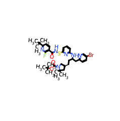 CC(C)(C)OC(=O)N1C[C@@H](CCC(Cc2ccc(Br)cn2)Nc2cccc(SNC(=O)c3ccc(C(C)(C)C)nc3F)n2)CC1(C)C